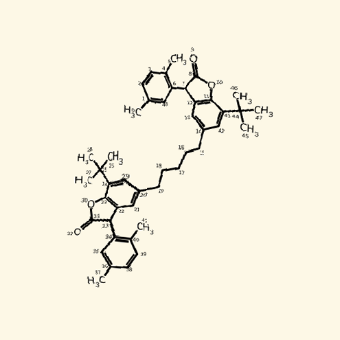 Cc1ccc(C)c(C2C(=O)Oc3c2cc(CCCCCc2cc4c(c(C(C)(C)C)c2)OC(=O)C4c2cc(C)ccc2C)cc3C(C)(C)C)c1